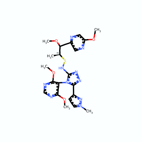 COc1cnc(C(OC)[C@H](C)SNc2nnc(-c3ccn(C)n3)n2-c2c(OC)ncnc2OC)cn1